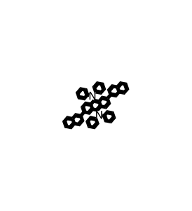 c1ccc(N(c2ccccc2)c2c3ccc(-c4ccc5ccccc5c4)cc3c(N(c3ccccc3)c3ccccc3)c3ccc(-c4ccc5ccccc5c4)cc23)cc1